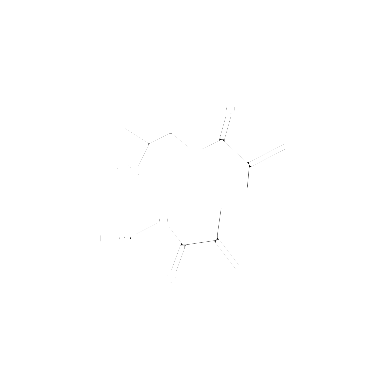 C=C(C)C(=O)OCC(CC)CCCC.C=C(C)C(=O)OCCCCCC